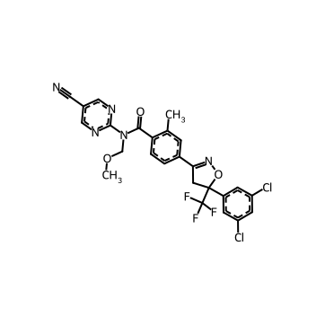 COCN(C(=O)c1ccc(C2=NOC(c3cc(Cl)cc(Cl)c3)(C(F)(F)F)C2)cc1C)c1ncc(C#N)cn1